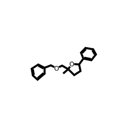 CC1(COCc2ccccc2)CCC(c2ccccc2)O1